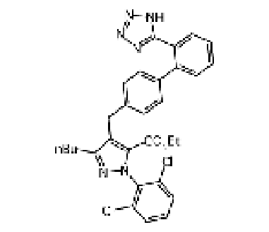 CCCCc1nn(-c2c(Cl)cccc2Cl)c(C(=O)OCC)c1Cc1ccc(-c2ccccc2-c2nnn[nH]2)cc1